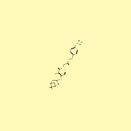 C[C@@H]1[C@H]2C[C@@H](C[C@H]1Nc1cnn(CC(=O)NCc3ccc(NS(C)(=O)=O)cc3)c(=O)c1Cl)C2(C)C